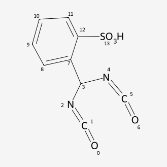 O=C=NC(N=C=O)c1ccccc1S(=O)(=O)O